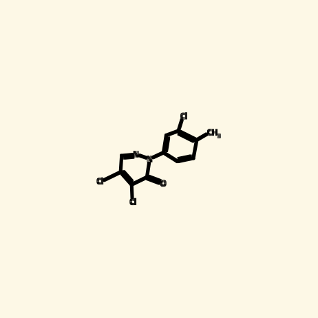 Cc1ccc(-n2ncc(Cl)c(Cl)c2=O)cc1Cl